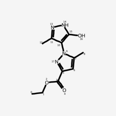 CCOC(=O)c1cc(C)n(-c2c(C)n[nH]c2O)n1